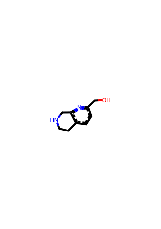 OCc1ccc2c(n1)CNCC2